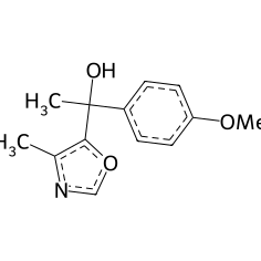 COc1ccc(C(C)(O)c2ocnc2C)cc1